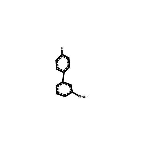 CCCCCc1cccc(-c2ccc(F)cc2)c1